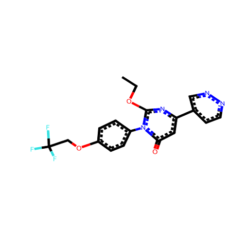 CCOc1nc(-c2ccnnc2)cc(=O)n1-c1ccc(OCC(F)(F)F)cc1